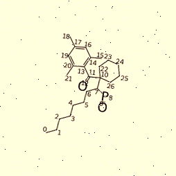 CCCCCCCC(P=O)C1(C(=O)c2c(C)cc(C)cc2C)CCCCC1